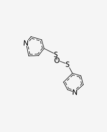 c1cc(SOSc2ccncc2)ccn1